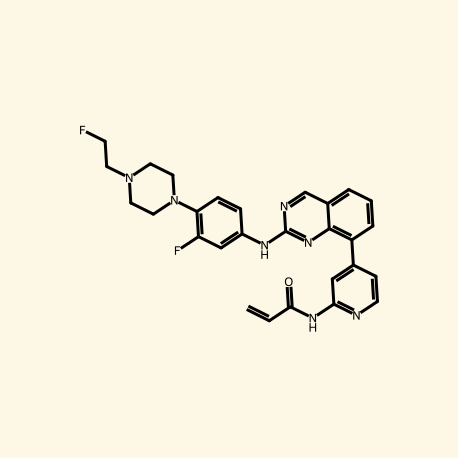 C=CC(=O)Nc1cc(-c2cccc3cnc(Nc4ccc(N5CCN(CCF)CC5)c(F)c4)nc23)ccn1